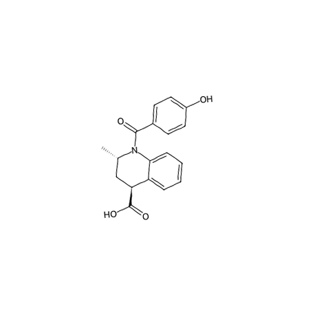 C[C@H]1C[C@H](C(=O)O)c2ccccc2N1C(=O)c1ccc(O)cc1